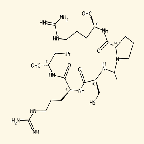 CC(C)C[C@@H](C=O)NC(=O)[C@H](CCCNC(=N)N)NC(=O)[C@H](CS)NC(C)N1CCC[C@H]1C(=O)N[C@H](C=O)CCCNC(=N)N